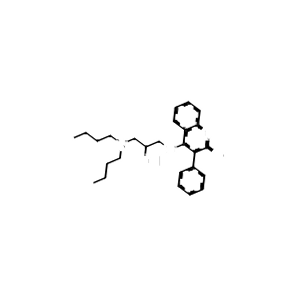 CCCCN(CCCC)CC(O)COc1c(-c2ccccc2)c(=O)oc2ccccc12